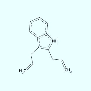 C=CCc1[nH]c2ccccc2c1CC=C